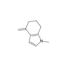 C=C1CCCc2c1ccn2C